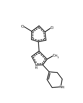 Cc1c(-c2cc(Cl)cc(Cl)c2)c[nH]c1C1=CCNCC1